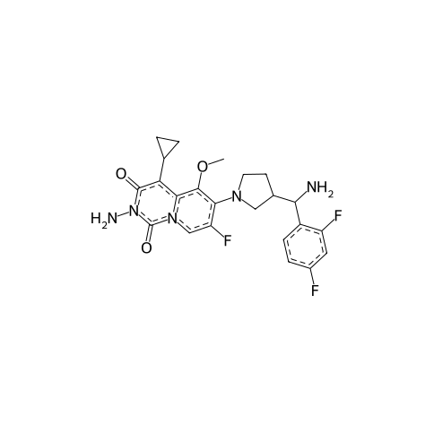 COc1c(N2CCC(C(N)c3ccc(F)cc3F)C2)c(F)cn2c(=O)n(N)c(=O)c(C3CC3)c12